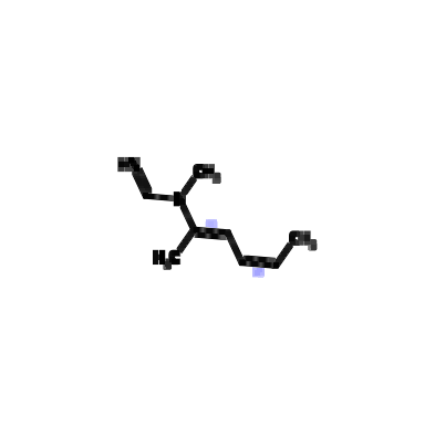 C/C=C\C=C(/C)N(C)C=N